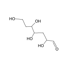 O=CC(O)CC(O)C(O)CCO